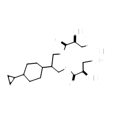 C=C(CO)C(=O)OCC(COC(=O)C(=C)COC)C1CCC(C2CC2)CC1